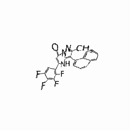 Cc1nn2c(=O)cc(-c3cc(F)c(F)c(F)c3F)[nH]c2c1-c1cccc2ccccc12